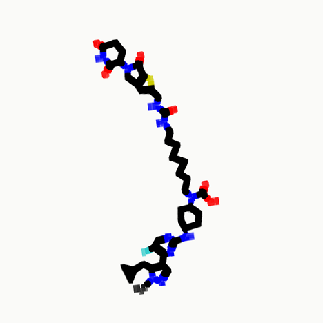 Cn1ncc(-c2nc(N[C@H]3CC[C@H](N(CCCCCCCCNC(=O)NCc4cc5c(s4)C(=O)N(C4CCC(=O)NC4=O)C5)C(=O)O)CC3)ncc2F)c1CC1CC1